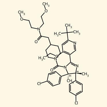 CCOc1cc(C(C)(C)C)ncc1C1=N[C@](C)(c2ccc(Cl)cc2)[C@@](C)(c2ccc(Cl)cc2)N1C(=O)N1CCC(CC(=O)N(CCOC)CCOC)CC1